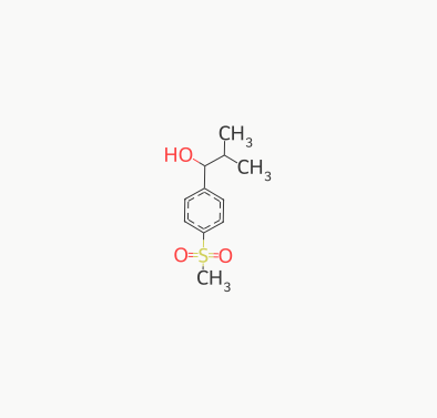 CC(C)C(O)c1ccc(S(C)(=O)=O)cc1